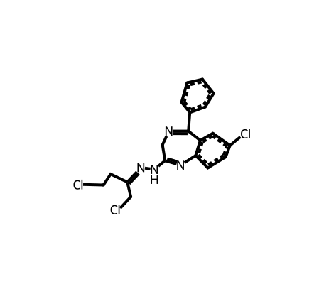 ClCCC(CCl)=NNC1=Nc2ccc(Cl)cc2C(c2ccccc2)=NC1